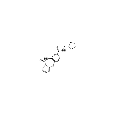 O=C(NCC1CCCC1)c1ccc2c(c1)NC(=O)c1ccccc1S2